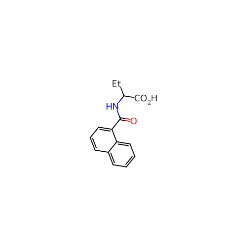 CCC(NC(=O)c1cccc2ccccc12)C(=O)O